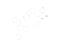 C=C(/N=C(\N=C(/N)c1cccc2oc3cc(-n4c5ccccc5c5cc(-c6ccccc6)c6ccccc6c54)ccc3c12)c1ccccc1)c1ccccc1